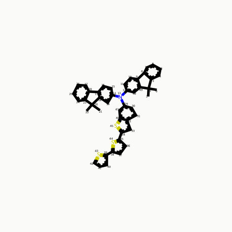 CC1(C)c2ccccc2-c2ccc(N(c3ccc4c(c3)C(C)(C)c3ccccc3-4)c3ccc4cc(-c5ccc(-c6cccs6)s5)sc4c3)cc21